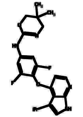 CC(C)c1c[nH]c2nccc(Oc3c(F)cc(NC4=NCC(C)(C)CO4)cc3F)c12